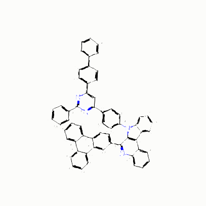 c1ccc(-c2ccc(-c3cc(-c4ccc(-n5c6ccccc6c6c7ccccc7nc(-c7ccc8c9ccccc9c9ccccc9c8c7)c65)cc4)nc(-c4ccccc4)n3)cc2)cc1